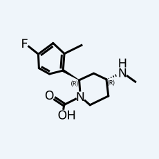 CN[C@@H]1CCN(C(=O)O)[C@@H](c2ccc(F)cc2C)C1